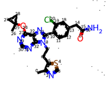 Cc1ncsc1CCn1c(-c2ccc(CC(N)=O)cc2Cl)nc2c(OC3(C)CC3)ncnc21